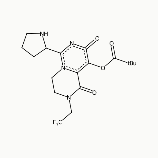 CC(C)(C)C(=O)Oc1c2n(c(C3CCCN3)nc1=O)CCN(CC(F)(F)F)C2=O